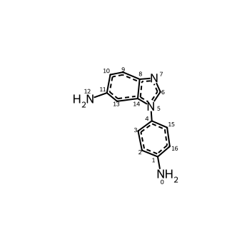 Nc1ccc(-n2cnc3ccc(N)cc32)cc1